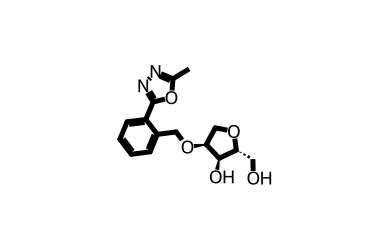 Cc1nnc(-c2ccccc2CO[C@H]2CO[C@H](CO)[C@H]2O)o1